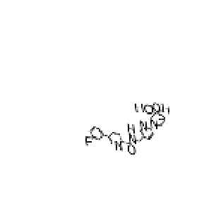 O=C(NCc1ccc(N2CCSC(O)(O)C2)nc1)c1ccc(-c2cccc(F)c2)cn1